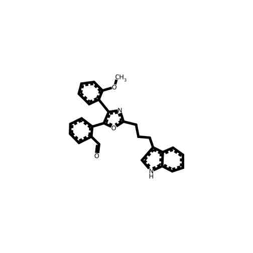 COc1ccccc1-c1nc(CCCc2c[nH]c3ccccc23)oc1-c1ccccc1C=O